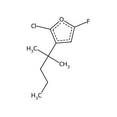 CCCC(C)(C)c1cc(F)oc1Cl